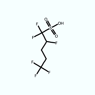 O=S(=O)(O)C(F)(F)C(F)CCC(F)(F)F